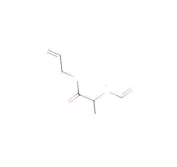 C=CCOC(=O)C(C)OC=O